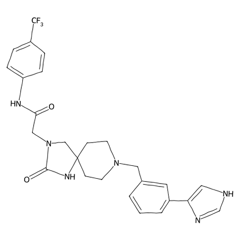 O=C(CN1CC2(CCN(Cc3cccc(-c4c[nH]cn4)c3)CC2)NC1=O)Nc1ccc(C(F)(F)F)cc1